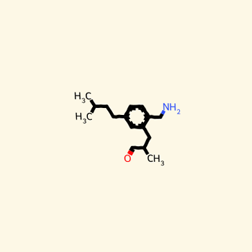 CC(C)CCc1ccc(CN)c(CC(C)C=O)c1